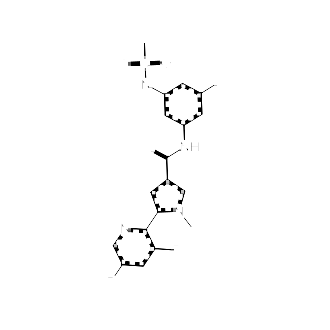 Cn1cc(C(=O)Nc2cc(F)cc(NS(C)(=O)=O)c2)cc1-c1ncc(F)cc1F